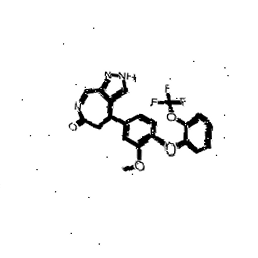 COc1cc(C2CC(=O)N=Cc3n[nH]cc32)ccc1Oc1ccccc1OC(F)(F)F